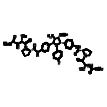 COC(=O)N[C@H](C(=O)N1CCC[C@H]1C(=O)Nc1ccc([C@H]2[C@@H](C)[C@H](OC)[C@H](c3ccc(NC(=O)[C@@H]4CCCN4C(=O)[C@@H](NC(=O)OC)C(C)(C)C)cc3)N2c2ccc(F)cc2)cc1)C(C)(C)C